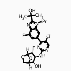 CC(C)n1c(C(C)(C)O)nc2c(F)cc(-c3nc(N[C@H]4[C@H](O)[C@@H]5CO[C@@H](O5)[C@@H]4F)ncc3Cl)cc21